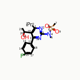 CC(C)c1nc(N(C)S(C)(=O)=O)nc(-c2ccc(F)cc2)c1C(C)O